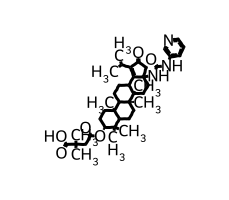 CC(C)C1=C2C3CCC4[C@@]5(C)CC[C@H](OC(=O)CC(C)(C)C(=O)O)C(C)(C)C5CC[C@@]4(C)[C@]3(C)CCC2(NC(=O)Nc2cccnc2)CC1=O